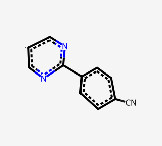 N#Cc1ccc(-c2nc[c]cn2)cc1